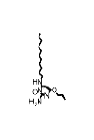 CCCCCCCCCCCNc1cc(OCCC)nc(N)[n+]1[O-]